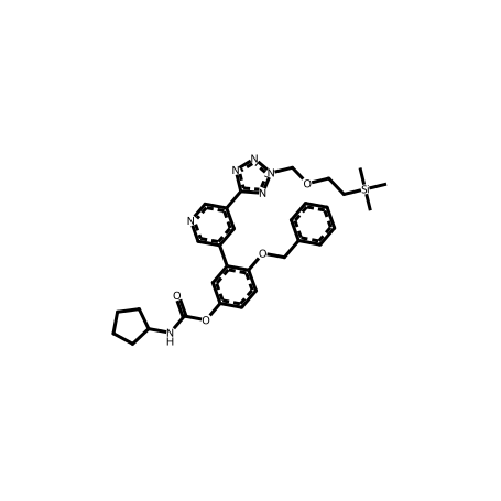 C[Si](C)(C)CCOCn1nnc(-c2cncc(-c3cc(OC(=O)NC4CCCC4)ccc3OCc3ccccc3)c2)n1